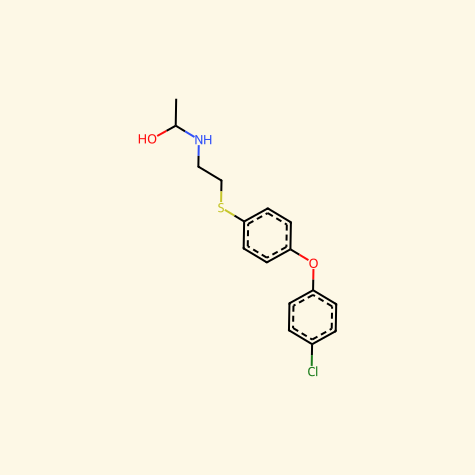 CC(O)NCCSc1ccc(Oc2ccc(Cl)cc2)cc1